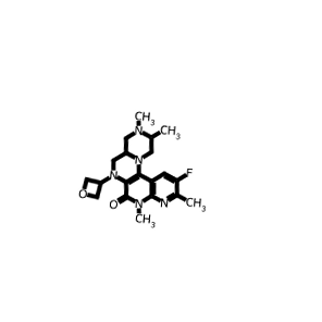 Cc1nc2c(cc1F)c1c(c(=O)n2C)N(C2COC2)CC2CN(C)C(C)CN12